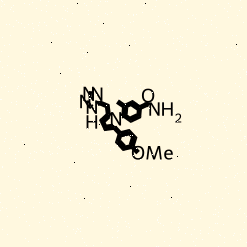 COc1ccc(-c2ccc(Cc3nnn[nH]3)n2-c2ccc(C(N)=O)cc2C)cc1